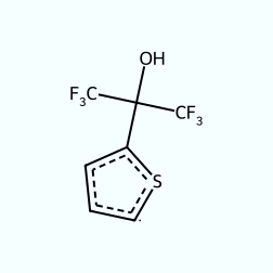 OC(c1cc[c]s1)(C(F)(F)F)C(F)(F)F